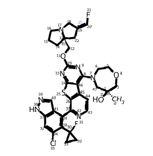 C[C@@]1(O)COCCN(c2nc(OC[C@@]34CCCN3C/C(=C\F)C4)nc3sc4c(-c5c(C6(F)CC6)c(Cl)cc6[nH]ncc56)nccc4c23)C1